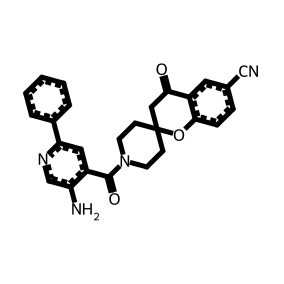 N#Cc1ccc2c(c1)C(=O)CC1(CCN(C(=O)c3cc(-c4ccccc4)ncc3N)CC1)O2